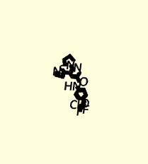 O=C(Nc1ccc(OC(F)(F)Cl)cc1)c1cnc(N2CCCC2)c(-c2ccns2)c1